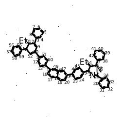 CCC1C(c2ccccc2)=CC(c2ccc(-c3ccc4ccc(-c5ccc(C6N=C(c7ccccc7)N=C(c7ccccc7)C6CC)cc5)cc4c3)cc2)=CC1c1ccccc1